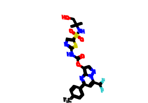 CC(C)(CO)NS(=O)(=O)c1cnc(NC(=O)Oc2cnn3c(C(F)F)cc(-c4ccc(C(F)(F)F)cc4)nc23)s1